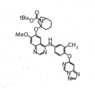 COc1cc2ncnc(Nc3ccc(Oc4cc5ncnn5cn4)c(C)c3)c2cc1OC12CCCC(CC1)N2C(=O)OC(C)(C)C